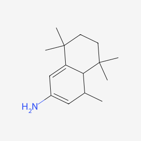 CC1C=C(N)C=C2C1C(C)(C)CCC2(C)C